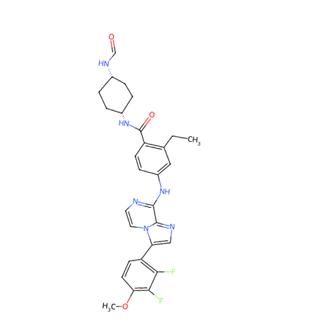 CCc1cc(Nc2nccn3c(-c4ccc(OC)c(F)c4F)cnc23)ccc1C(=O)N[C@H]1CC[C@@H](NC=O)CC1